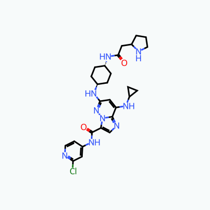 O=C(CC1CCCN1)N[C@H]1CC[C@H](Nc2cc(NC3CC3)c3ncc(C(=O)Nc4ccnc(Cl)c4)n3n2)CC1